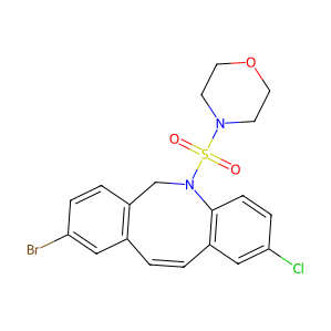 O=S(=O)(N1CCOCC1)N1Cc2ccc(Br)cc2C=Cc2cc(Cl)ccc21